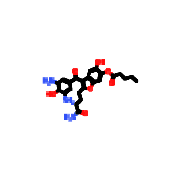 CCCCC(=O)Oc1cc2oc(CCCC(N)=O)c(C(=O)c3cc(N)c(O)c(N)c3)c2cc1O